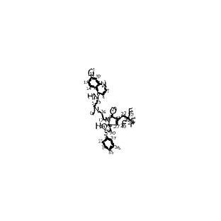 CN(CCNc1ccnc2cc(Cl)ccc12)CCN1C(=O)C(CC(F)(F)F)=CC1(O)CSc1ccccc1